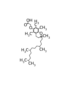 Cc1c(C)c2c(c(C)c1OCC(=O)O)CC[C@@](C)(CCCC(C)CCCC(C)CCCC(C)C)O2